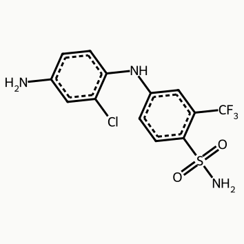 Nc1ccc(Nc2ccc(S(N)(=O)=O)c(C(F)(F)F)c2)c(Cl)c1